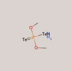 COP(=[Te])([TeH])OC.N